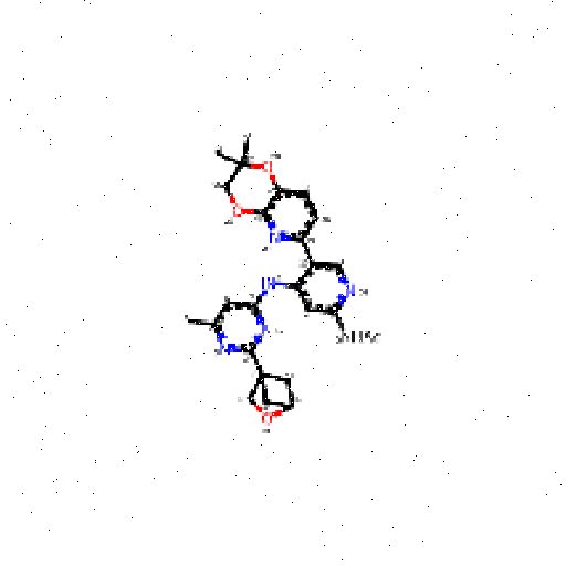 CC(=O)Nc1cc(Nc2cc(C)nc(C34COC(C3)C4)n2)c(-c2ccc3c(n2)OCC(C)(C)O3)cn1